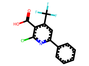 O=C(O)c1c(C(F)(F)F)cc(-c2ccccc2)nc1Cl